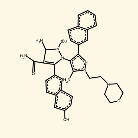 CC(C)(C)N1C(N)C(C(N)=O)=C(c2ccc3cc(O)ccc3c2)N1c1c(-c2ccc3ccccc3c2)nn(CCN2CCOCC2)c1N